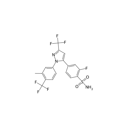 Cc1cc(-n2nc(C(F)(F)F)cc2-c2ccc(S(N)(=O)=O)c(F)c2)ccc1C(F)(F)F